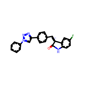 O=C1Nc2ccc(F)cc2/C1=C/c1ccc(-c2cn(-c3ccccc3)nn2)cc1